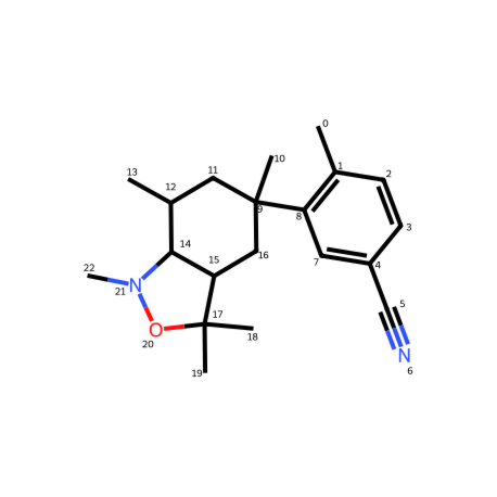 Cc1ccc(C#N)cc1C1(C)CC(C)C2C(C1)C(C)(C)ON2C